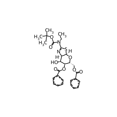 CCN(C(=O)OC(C)(C)C)C1=N[C@@H]2[C@H](O)[C@H](OC(=O)c3ccccc3)[C@@H](COC(=O)c3ccccc3)O[C@@H]2S1